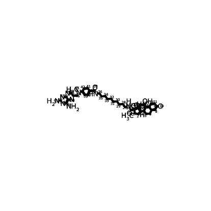 C[C@@H]1C[C@H]2C3CCC4=CC(=O)C=C[C@]4(C)[C@@]3(F)[C@@H](O)C[C@]2(C)[C@@]1(O)C(=O)NCCCCCCCCCCNC(=O)c1ccc(N(C)Cc2cnc3nc(N)nc(N)c3n2)cc1